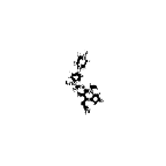 CCN(C1=NC(Nc2ccc(N3CCN(C)CC3)cc2)=NCC1/C=C/C#N)C1CCCC1